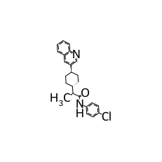 C[C@H](C(=O)Nc1ccc(Cl)cc1)[C@H]1CC[C@H](c2cnc3ccccc3c2)CC1